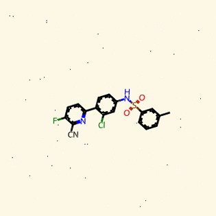 Cc1cccc(S(=O)(=O)Nc2ccc(-c3ccc(F)c(C#N)n3)c(Cl)c2)c1